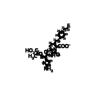 C[C@@H](O/N=C(\C(=O)N[C@@H]1C(=O)N2C(C(=O)[O-])=C(CSc3cc[n+](CCF)cc3)CS[C@H]12)c1csc(N)n1)C(=O)O